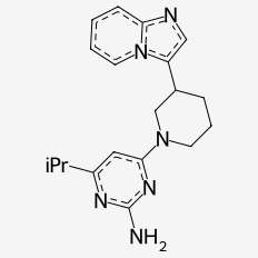 CC(C)c1cc(N2CCCC(c3cnc4ccccn34)C2)nc(N)n1